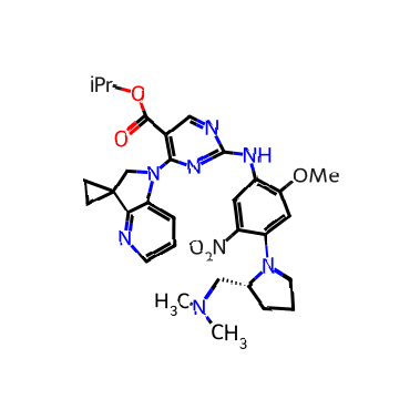 COc1cc(N2CCC[C@@H]2CN(C)C)c([N+](=O)[O-])cc1Nc1ncc(C(=O)OC(C)C)c(N2CC3(CC3)c3ncccc32)n1